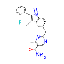 Cc1nc(Cc2ccc3[nH]c(-c4ccccc4F)c(C)c3c2)ncc1C(N)=O